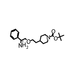 CC(C)(C)OC(=O)N1CCC(CCOC[C@@H](N)c2ccccc2)CC1